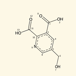 O=C(O)c1cc(CO)cnc1C(=O)O